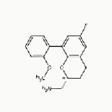 COc1ccccc1-c1cc(F)cc2c1O[C@@H](CN)CC2